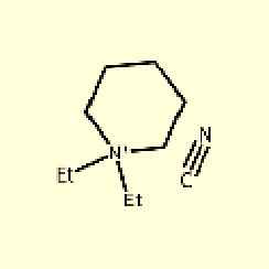 CC[N+]1(CC)CCCCC1.[C-]#N